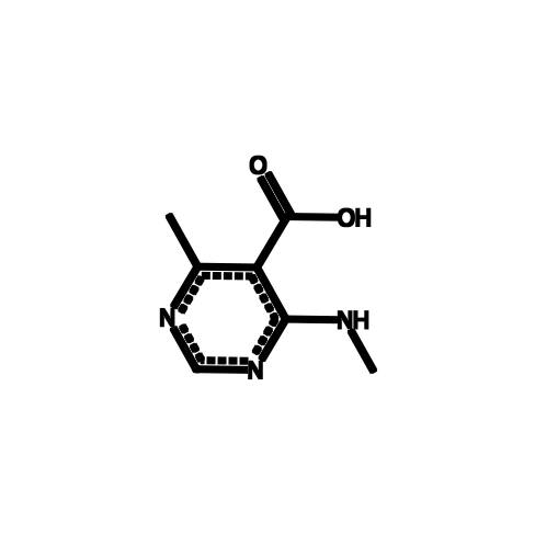 CNc1ncnc(C)c1C(=O)O